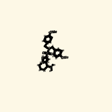 COc1ccc(CN(Cc2ccc(OC)cc2)S(=O)(=O)c2cc3n(n2)CCCC3N(C)C)cc1